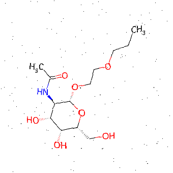 CCCOCCO[C@@H]1O[C@H](CO)[C@H](O)[C@H](O)[C@H]1NC(C)=O